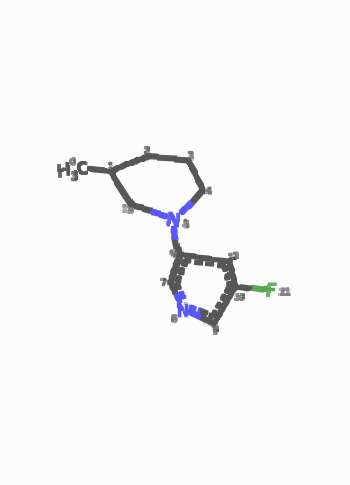 CC1CCCN(c2cncc(F)c2)C1